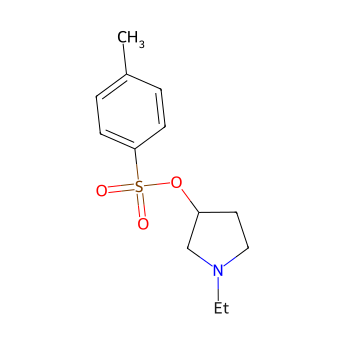 CCN1CCC(OS(=O)(=O)c2ccc(C)cc2)C1